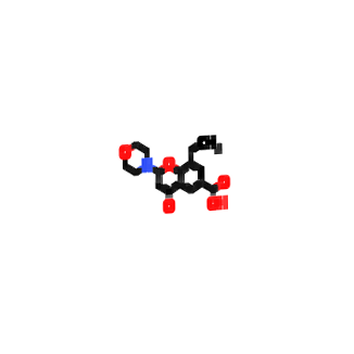 C=Cc1cc(C(=O)O)cc2c(=O)cc(N3CCOCC3)oc12